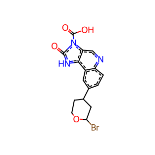 O=C(O)n1c(=O)[nH]c2c3cc(C4CCOC(Br)C4)ccc3ncc21